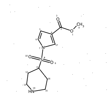 COC(=O)c1ccn(S(=O)(=O)C2CCNCC2)c1